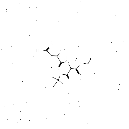 CCOC(=O)C(NC(=O)C(N)CC(=O)O)C(=O)OC(C)(C)C